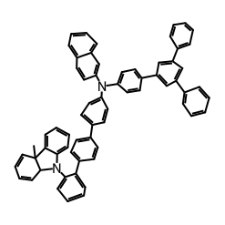 CC12C=CC=CC1N(c1ccccc1-c1ccc(-c3ccc(N(c4ccc(-c5cc(-c6ccccc6)cc(-c6ccccc6)c5)cc4)c4ccc5ccccc5c4)cc3)cc1)c1ccccc12